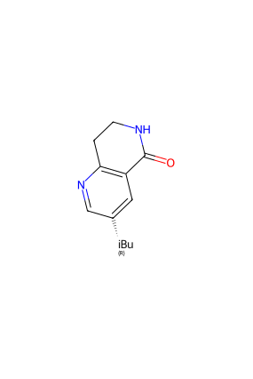 CC[C@@H](C)c1cnc2c(c1)C(=O)NCC2